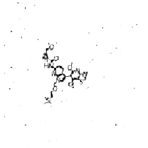 COc1nc2ncsc2c(OC)c1-c1cn(COCC[Si](C)(C)C)c2nc(NC(=O)[C@@H]3C[C@H]3C=O)ccc12